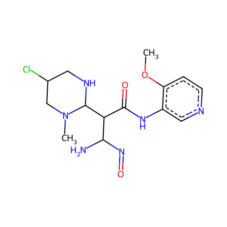 COc1ccncc1NC(=O)C(C(N)N=O)C1NCC(Cl)CN1C